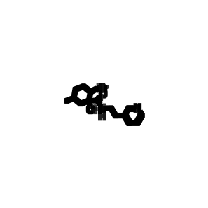 CC1CCC(C(C)C)C(O)(C(=O)NCCc2cccnc2)C1